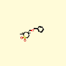 C[C@H]1C[C@@H](COCc2ccccc2)CCS1(=O)=O